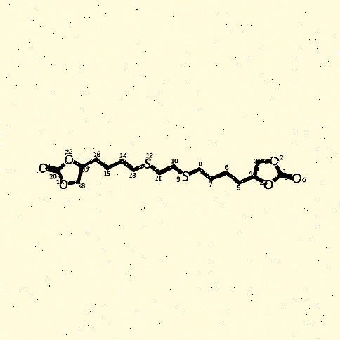 O=C1OCC(CCCCSCCSCCCCC2COC(=O)O2)O1